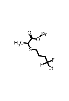 CCC(F)(F)CCCSC(C)C(=O)OC(C)C